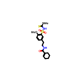 CNC(=S)NS(=O)(=O)c1cc(CCNC(=O)C2=CCCCC2)ccc1OC